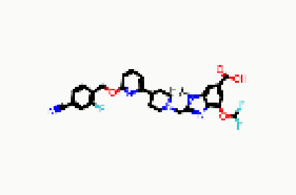 Cn1c(CN2CCC(c3cccc(OCc4ccc(C#N)cc4F)n3)CC2)nc2c(OC(F)F)cc(C(=O)O)cc21